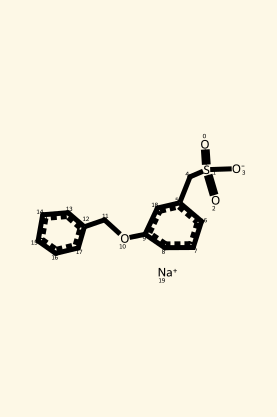 O=S(=O)([O-])Cc1cccc(OCc2ccccc2)c1.[Na+]